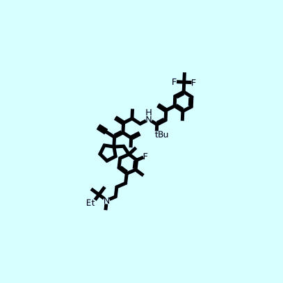 C#C/C(=C(/C(=C)C)C(=C)C(C)CN/C(=C\C(=C)c1cc(C(C)(F)F)ccc1C)C(C)(C)C)C1(CC2(C)CC=C(CCCN(C)C(C)(C)CC)C(C)=C2F)CCCC1